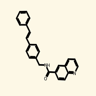 O=C(NCc1ccc(C=Cc2ccccc2)cc1)c1ccc2ncccc2c1